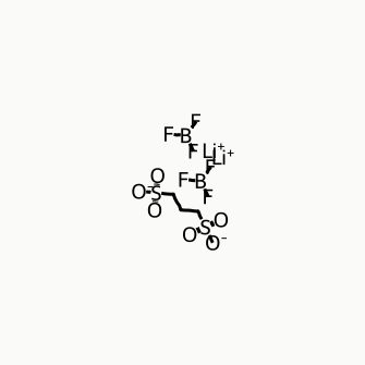 FB(F)F.FB(F)F.O=S(=O)([O-])CCCS(=O)(=O)[O-].[Li+].[Li+]